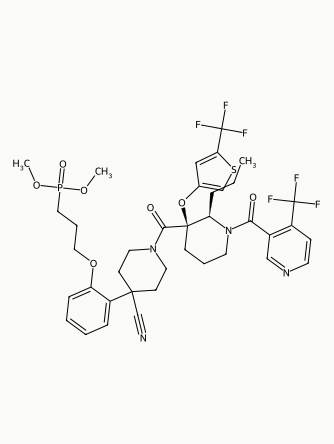 CCC[C@H]1N(C(=O)c2cnccc2C(F)(F)F)CCC[C@]1(Oc1csc(C(F)(F)F)c1)C(=O)N1CCC(C#N)(c2ccccc2OCCCP(=O)(OC)OC)CC1